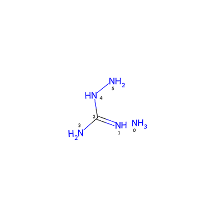 N.N=C(N)NN